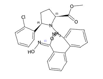 COC(=O)[C@@H]1CC[C@H](c2ccccc2Cl)N1C(=O)c1ccccc1-c1ccccc1/C(N)=N\O